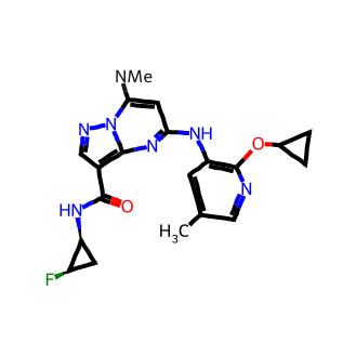 CNc1cc(Nc2cc(C)cnc2OC2CC2)nc2c(C(=O)N[C@H]3C[C@H]3F)cnn12